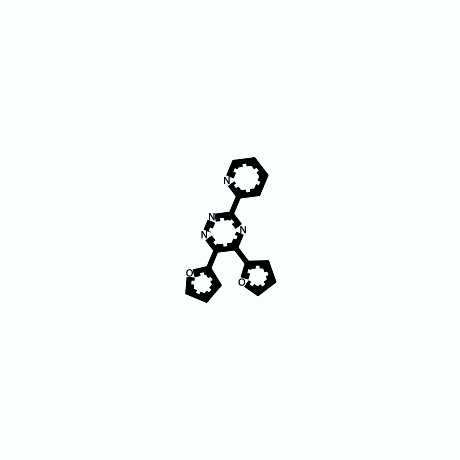 c1ccc(-c2nnc(-c3ccco3)c(-c3ccco3)n2)nc1